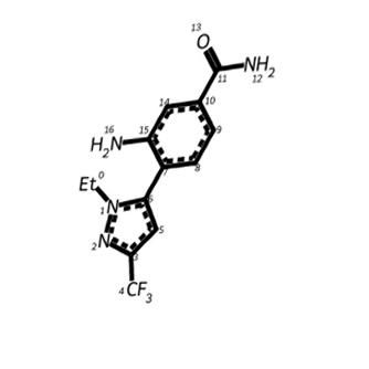 CCn1nc(C(F)(F)F)cc1-c1ccc(C(N)=O)cc1N